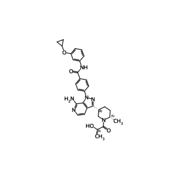 C[C@@H](O)C(=O)N1C[C@H](c2nn(-c3ccc(C(=O)Nc4cccc(OC5CC5)c4)cc3)c3c(N)nccc23)CC[C@@H]1C